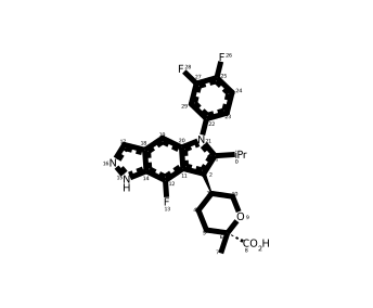 CC(C)c1c([C@@H]2CC[C@@](C)(C(=O)O)OC2)c2c(F)c3[nH]ncc3cc2n1-c1ccc(F)c(F)c1